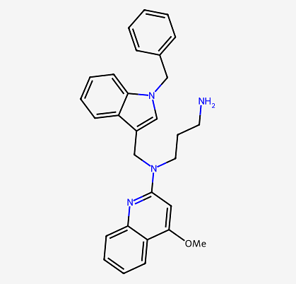 COc1cc(N(CCCN)Cc2cn(Cc3ccccc3)c3ccccc23)nc2ccccc12